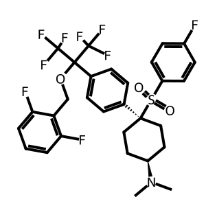 CN(C)[C@H]1CC[C@@](c2ccc(C(OCc3c(F)cccc3F)(C(F)(F)F)C(F)(F)F)cc2)(S(=O)(=O)c2ccc(F)cc2)CC1